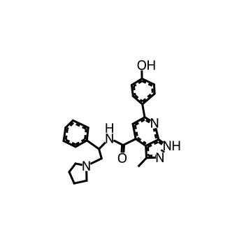 Cc1n[nH]c2nc(-c3ccc(O)cc3)cc(C(=O)NC(CN3CCCC3)c3ccccc3)c12